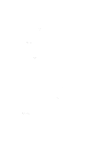 CNCC1CCN(C(=O)C=Cc2ccc3cc(OC)c(OC)c(OC)c3c2)CC1